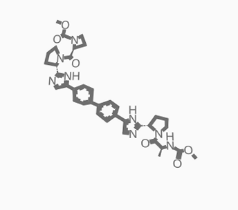 COC(=O)N[C@@H](C)C(=O)N1CCC[C@H]1c1ncc(-c2ccc(-c3ccc(-c4cnc([C@@H]5CCCN5C(=O)[C@@H]5CCN5C(=O)OC)[nH]4)cc3)cc2)[nH]1